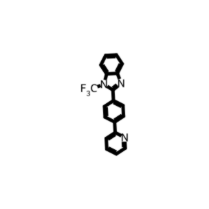 FC(F)(F)n1c(-c2ccc(-c3ccccn3)cc2)nc2ccccc21